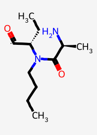 CCCCN(C(=O)[C@H](C)N)[C@H]([C]=O)CC